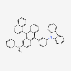 c1ccc([SiH2]c2ccc3c(-c4cccc(-n5c6ccccc6c6ccccc65)c4)c4ccccc4c(-c4cccc5ccccc45)c3c2)cc1